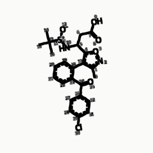 Cc1noc(C(CC(=O)O)N[S@+]([O-])C(C)(C)C)c1-c1ccccc1C(=O)c1ccc(Cl)cc1